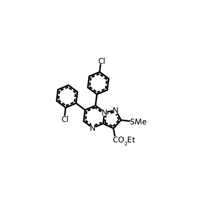 CCOC(=O)c1c(SC)nn2c(-c3ccc(Cl)cc3)c(-c3ccccc3Cl)cnc12